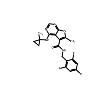 Cc1oc2ncnc(NC3(C)CC3)c2c1C(=O)NCc1c(F)cc(Cl)cc1F